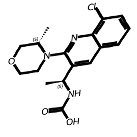 C[C@H](NC(=O)O)c1cc2cccc(Cl)c2nc1N1CCOC[C@@H]1C